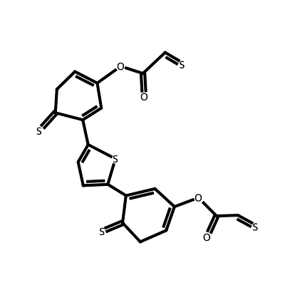 O=C(C=S)OC1=CCC(=S)C(c2ccc(C3=CC(OC(=O)C=S)=CCC3=S)s2)=C1